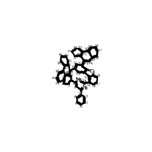 c1ccc(-c2cc(-c3ccccc3)nc(-c3cccc4oc5c(-c6cc7ccccc7c7ccccc67)cc(-c6cc7ccccc7c7ccccc67)cc5c34)n2)cc1